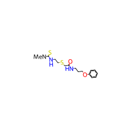 CNC(=S)NCCSCC(=O)NCCCOc1ccccc1